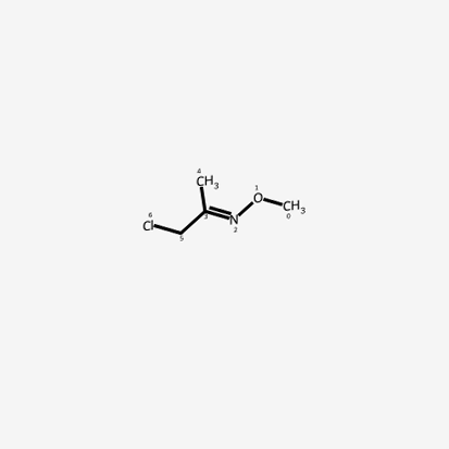 CO/N=C(\C)CCl